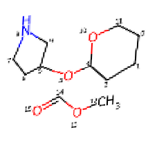 C1CCC(OC2CCNC2)OC1.COC=O